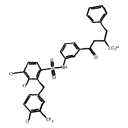 O=C(CC(Cc1ccccc1)C(=O)O)c1cccc(NS(=O)(=O)c2ccc(Cl)c(Cl)c2Cc2ccc(Cl)c(C(F)(F)F)c2)c1